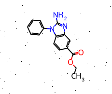 CCOC(=O)c1ccc2c(c1)nc(N)n2-c1ccccc1